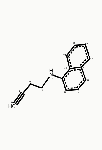 C#CCCNc1cccc2ccccc12